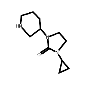 O=C1N(C2CC2)CCN1C1CCCNC1